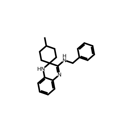 CC1CCC2(CC1)Nc1ccccc1N=C2NCc1ccccc1